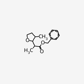 CC1CCOC1C(C)C(=O)OCc1ccccc1